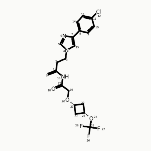 C=C(CCn1cnc(-c2ccc(Cl)cc2)c1)NC(=O)CO[C@H]1C[C@@H](OC(F)(F)F)C1